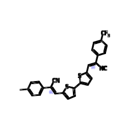 [C-]#[N+]/C(=C\c1ccc(-c2ccc(/C=C(\C#N)c3ccc(C)cc3)s2)s1)c1ccc(C(F)(F)F)cc1